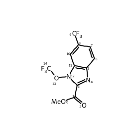 COC(=O)c1nc2ccc(C(F)(F)F)cc2n1OC(F)(F)F